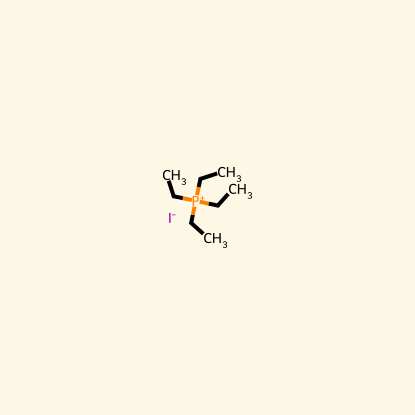 CC[P+](CC)(CC)CC.[I-]